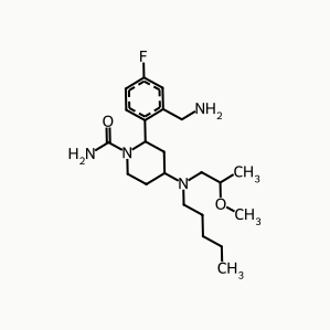 CCCCCN(CC(C)OC)C1CCN(C(N)=O)C(c2ccc(F)cc2CN)C1